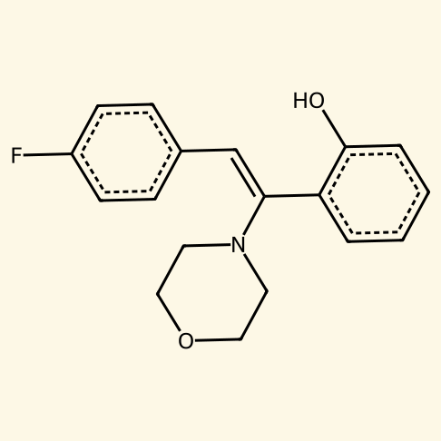 Oc1ccccc1C(=Cc1ccc(F)cc1)N1CCOCC1